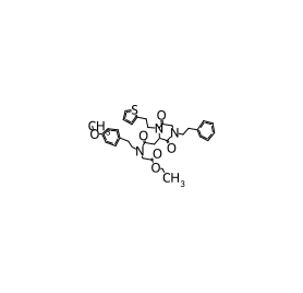 CCOC(=O)CN(CCc1ccc(OC)cc1)C(=O)CC1C(=O)N(CCc2ccccc2)CC(=O)N1CCc1cccs1